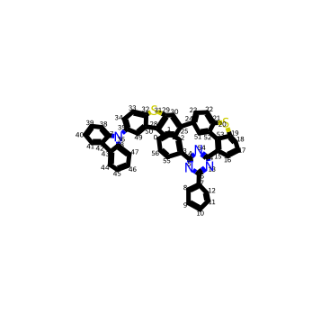 c1ccc(-c2nc(-c3ccccc3)nc(-c3cccc4sc5ccc(-c6ccc7c(c6)sc6ccc(-n8c9ccccc9c9ccccc98)cc67)cc5c34)n2)cc1